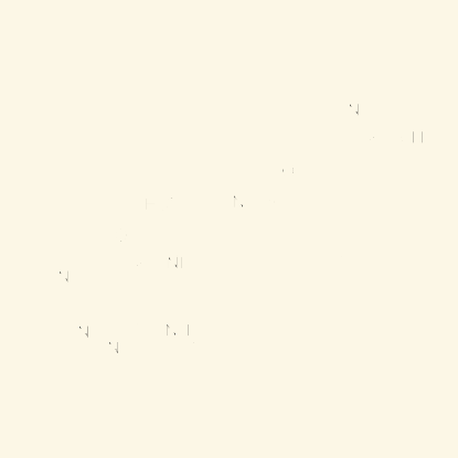 CC(=N)C#Cc1cccc2cc(C(C)NC(=O)c3c(N)nn4cccnc34)n(-c3ccccc3)c(=O)c12